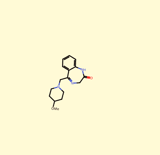 COC1CCN(CC2=NCC(=O)Nc3ccccc32)CC1